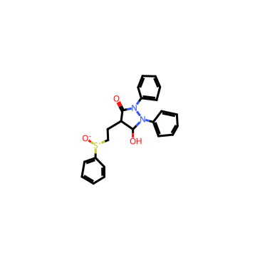 O=C1C(CC[S+]([O-])c2ccccc2)C(O)N(c2ccccc2)N1c1ccccc1